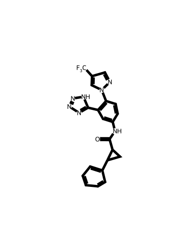 O=C(Nc1ccc(-n2cc(C(F)(F)F)cn2)c(-c2nnn[nH]2)c1)C1CC1c1ccccc1